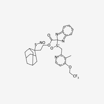 Cc1c(OCC(F)(F)F)ccnc1C[S+]([O-])C1(C(=O)OCCC2(SN=O)C3CC4CC(C3)CC2C4)N=c2ccccc2=N1